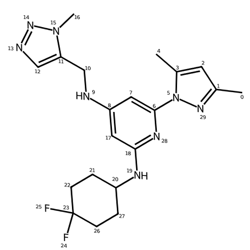 Cc1cc(C)n(-c2cc(NCc3cnnn3C)cc(NC3CCC(F)(F)CC3)n2)n1